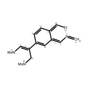 C=N/C=c1/cc(/C(=C/NC)CNC)cc/c1=C/CC